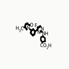 Cc1ccc(=O)n(-c2cccc(-c3nc(NC4CCC(C(=O)O)CC4)ncc3F)c2)c1